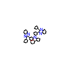 c1ccc(-c2ccccc2N(c2cccc(-c3nc4ccccc4nc3-c3ccccc3)c2)c2cccc(-c3nc4ccccc4nc3-c3ccccc3)c2)cc1